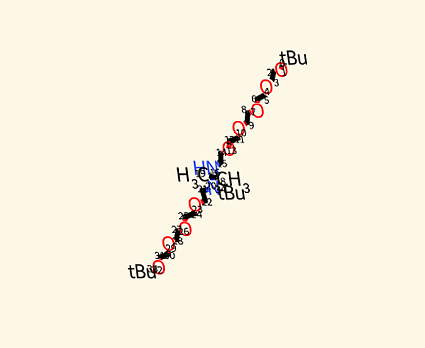 CC(C)(C)OCCOCCOCCOCCOCCNC(C)(C)N(CCOCCOCCOCCOC(C)(C)C)C(C)(C)C